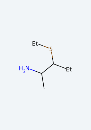 CCSC(CC)C(C)N